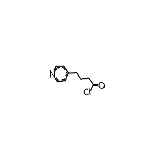 O=C(Cl)CCCc1ccncc1